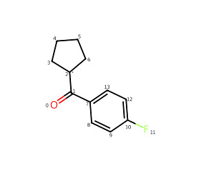 O=C([C]1CCCC1)c1ccc(F)cc1